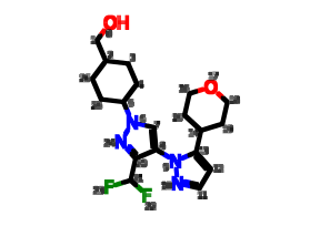 OCC1CCC(n2cc(-n3nccc3C3CCOCC3)c(C(F)F)n2)CC1